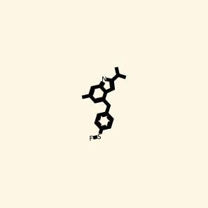 CC1=CC2=NC(C(C)C)=CC2C(Cc2ccc(SF)cc2)=C1